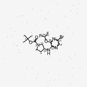 CC(C)(C)OC(=O)N1CCC(Nc2ncc(Br)nc2OC(F)F)C1